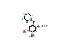 CC(=O)Nc1cc(C(C)(C)C)c(Br)cc1CN1CCCCC1